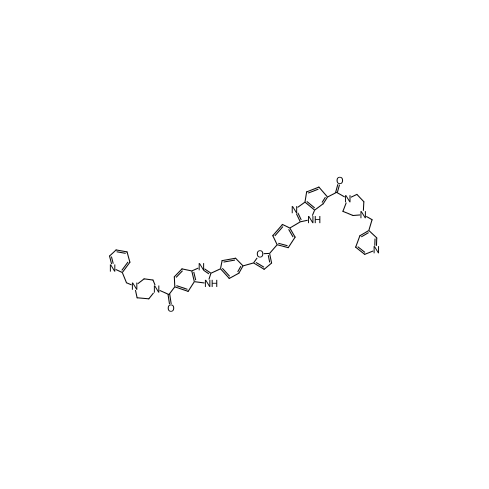 O=C(c1ccc2nc(-c3ccc(-c4ccc(-c5ccc(-c6nc7ccc(C(=O)N8CCN(Cc9ccccn9)CC8)cc7[nH]6)cc5)o4)cc3)[nH]c2c1)N1CCN(Cc2cccnc2)CC1